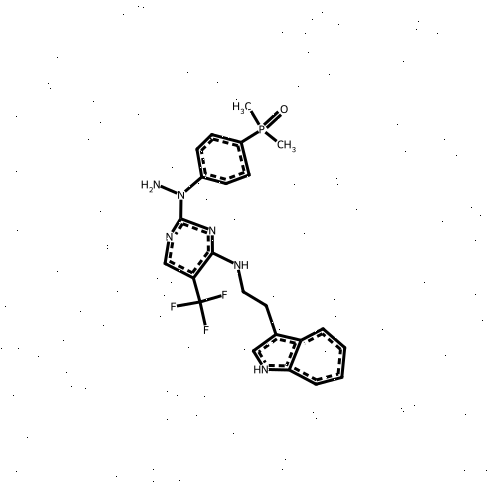 CP(C)(=O)c1ccc(N(N)c2ncc(C(F)(F)F)c(NCCc3c[nH]c4ccccc34)n2)cc1